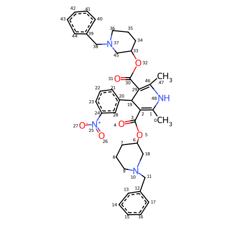 CC1=C(C(=O)OC2CCCN(Cc3ccccc3)C2)C(c2cccc([N+](=O)[O-])c2)C(C(=O)OC2CCCN(Cc3ccccc3)C2)=C(C)N1